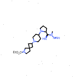 CCOC(=O)N1CCC2(CC(N3CCC(N4CCCC4C(=N)N(C)N=N)CC3)C2)C1